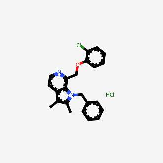 Cc1c(C)n(Cc2ccccc2)c2c(COc3ccccc3Cl)nccc12.Cl